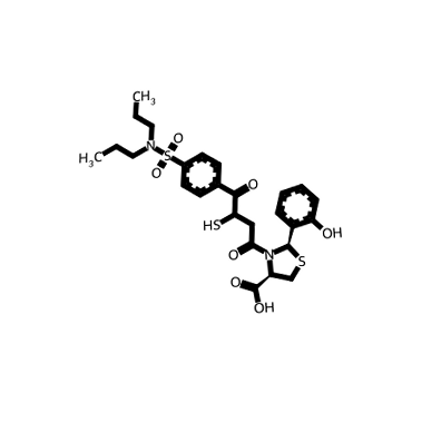 CCCN(CCC)S(=O)(=O)c1ccc(C(=O)C(S)CC(=O)N2[C@@H](c3ccccc3O)SC[C@H]2C(=O)O)cc1